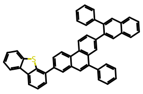 c1ccc(-c2cc3ccccc3cc2-c2ccc3c(c2)c(-c2ccccc2)cc2cc(-c4cccc5c4sc4ccccc45)ccc23)cc1